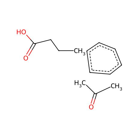 CC(C)=O.CCCC(=O)O.c1ccccc1